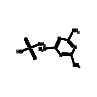 NS(=O)(=O)O.Nc1nc(N)nc(N)n1